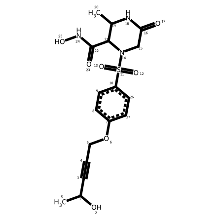 CC(O)C#CCOc1ccc(S(=O)(=O)N2CC(=O)NC(C)C2C(=O)NO)cc1